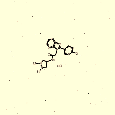 CCN1CC(NC(=O)Cn2c(-c3ccc(Cl)cc3)nc3cccnc32)CN1CC.Cl